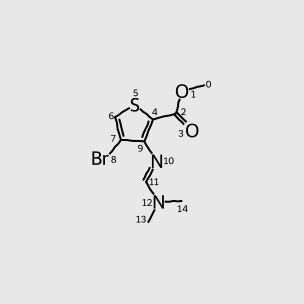 COC(=O)c1scc(Br)c1/N=C/N(C)C